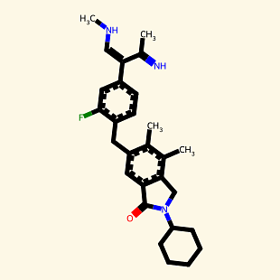 CN/C=C(\C(C)=N)c1ccc(Cc2cc3c(c(C)c2C)CN(C2CCCCC2)C3=O)c(F)c1